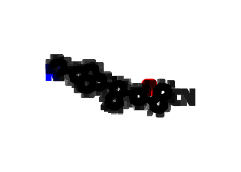 N#Cc1ccc2c3c(cccc13)-c1ccc(-c3ccc(-c4cc5ccc6cc(-c7cccnc7)cc7ccc(c4)c5c67)c4ccccc34)cc1O2